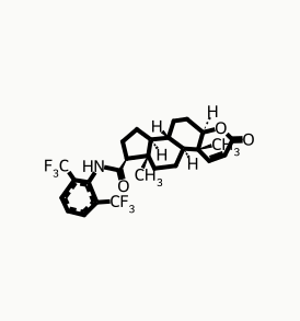 C[C@]12C=CC(=O)O[C@@H]1CC[C@@H]1[C@@H]2CC[C@]2(C)[C@@H](C(=O)Nc3c(C(F)(F)F)cccc3C(F)(F)F)CC[C@@H]12